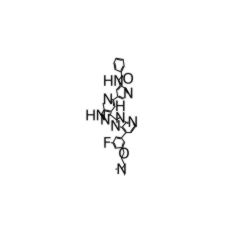 CN(C)CCOc1cc(F)cc(-c2ccnc3[nH]c(-c4n[nH]c5cnc(-c6cncc(NC(=O)c7ccccc7)c6)cc45)nc23)c1